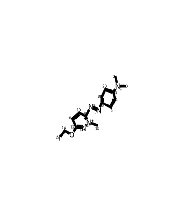 CN(C)c1ccc(N=Nc2ccc(OCI)n[n+]2C)cc1